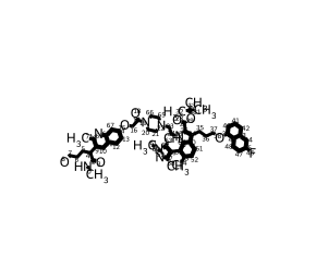 CNC(=O)C(CCC=O)c1cc2ccc(OCC(=O)N3CCN(CCn4c(C(=O)OC(C)(C)C)c(CCCOc5cccc6cc(F)ccc56)c5ccc(Cl)c(-c6c(C)nn(C)c6C)c54)CC3)cc2nc1C